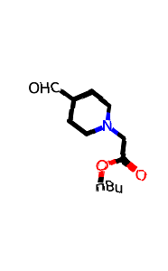 CCCCOC(=O)CN1CCC(C=O)CC1